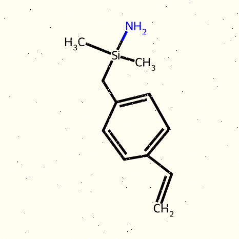 C=Cc1ccc(C[Si](C)(C)N)cc1